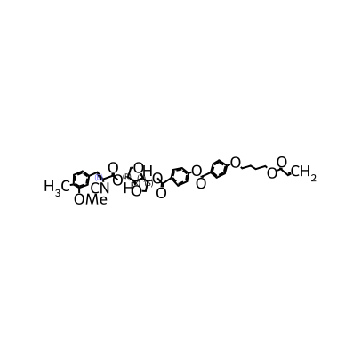 C=CC(=O)OCCCCOc1ccc(C(=O)Oc2ccc(C(=O)O[C@H]3CO[C@H]4[C@@H]3OC[C@H]4OC(=O)/C(C#N)=C/c3ccc(C)c(OC)c3)cc2)cc1